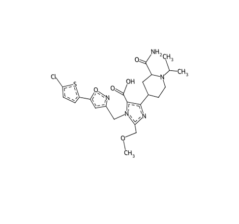 COCc1nc(C2CCN(C(C)C)C(C(N)=O)C2)c(C(=O)O)n1Cc1cc(-c2ccc(Cl)s2)on1